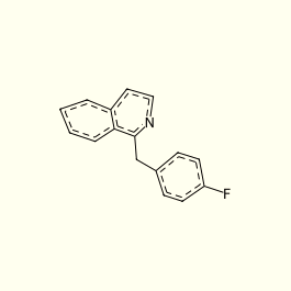 Fc1ccc(Cc2nccc3ccccc23)cc1